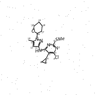 CSc1nc(Cl)c(C2CC2)c(Nc2cc(C)n(C3CCCCO3)n2)n1